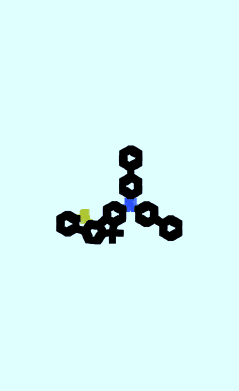 CC1(C)c2cc(N(c3ccc(-c4ccccc4)cc3)c3ccc(-c4ccccc4)cc3)ccc2-c2c1ccc1c2sc2ccccc21